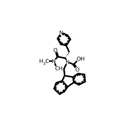 CN(C)C(=O)[C@H](Cc1ccncc1)N(CC1c2ccccc2-c2ccccc21)C(=O)O